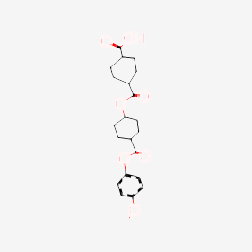 COc1ccc(OC(=O)C2CCC(OC(=O)C3CCC(C(=O)O)CC3)CC2)cc1